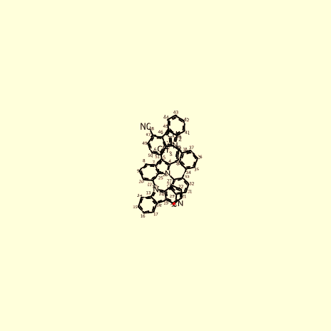 C=C/C=C\c1c(C)c2cccc(-n3c4ccccc4c4ccccc43)c2n1-c1cc(C#N)ccc1-c1cccc(-n2c3ccccc3c3c(C#N)cccc32)c1